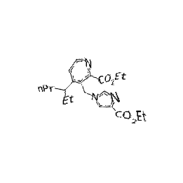 CCCC(CC)c1ccnc(C(=O)OCC)c1Cn1cnc(C(=O)OCC)c1